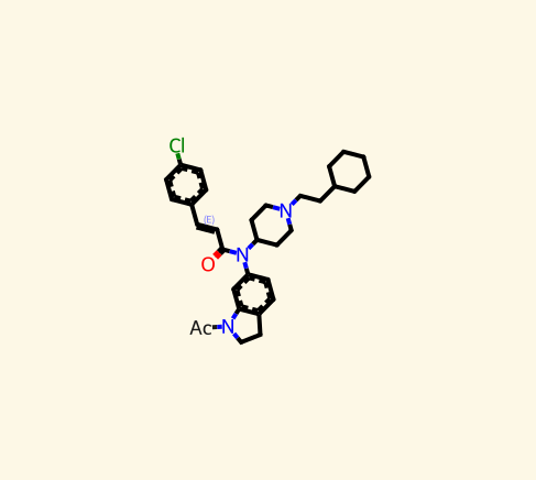 CC(=O)N1CCc2ccc(N(C(=O)/C=C/c3ccc(Cl)cc3)C3CCN(CCC4CCCCC4)CC3)cc21